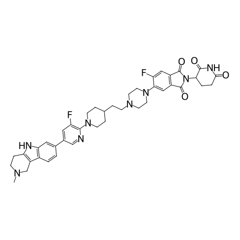 CN1CCc2[nH]c3cc(-c4cnc(N5CCC(CCN6CCN(c7cc8c(cc7F)C(=O)N(C7CCC(=O)NC7=O)C8=O)CC6)CC5)c(F)c4)ccc3c2C1